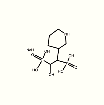 O=P(O)(O)C(O)C(C1CCCNC1)P(=O)(O)O.[NaH]